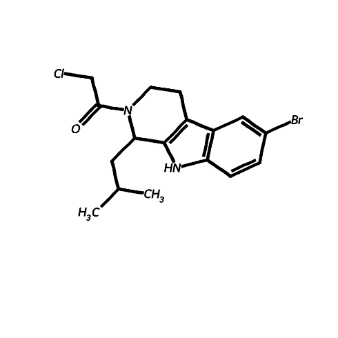 CC(C)CC1c2[nH]c3ccc(Br)cc3c2CCN1C(=O)CCl